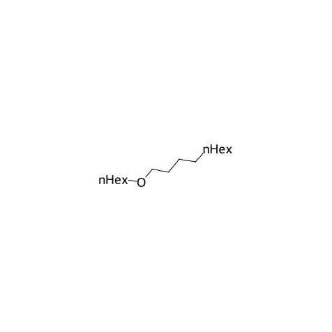 [CH2]CCCCCCCCCOCCCCCC